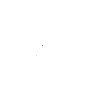 [CH2]C12CCCN(CCC1)C2